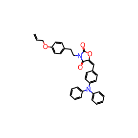 C=CCOc1ccc(CCN2C(=O)O/C(=C/c3ccc(N(c4ccccc4)c4ccccc4)cc3)C2=O)cc1